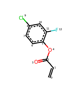 C=CC(=O)Oc1ccc(Cl)cc1F